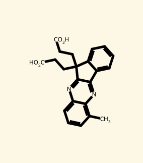 Cc1cccc2nc3c(nc12)-c1ccccc1C3(CCC(=O)O)CCC(=O)O